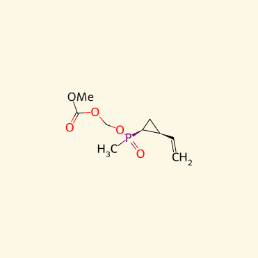 C=C[C@@H]1C[C@@H]1P(C)(=O)OCOC(=O)OC